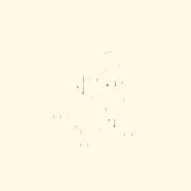 COCn1cc(C(=O)OC)c2c3c(C(=O)OC)c[nH]c3c(S(=O)(=O)c3ccc(C)cc3)c(OC(C)=O)c21